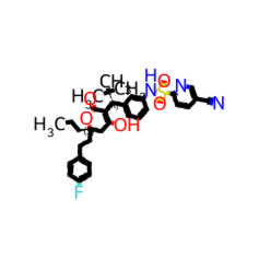 CCC[C@]1(CCc2ccc(F)cc2)CC(O)=C([C@@H](c2cccc(NS(=O)(=O)c3ccc(C#N)cn3)c2)C(C)(C)C)C(=O)O1